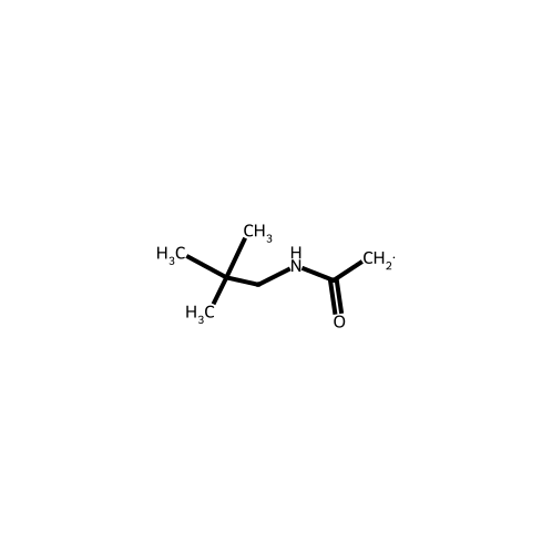 [CH2]C(=O)NCC(C)(C)C